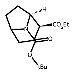 CCOC(=O)[C@H]1CCC2CC[C@@H]1N2C(=O)OC(C)(C)C